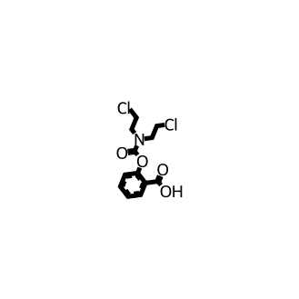 O=C(O)c1ccccc1OC(=O)N(CCCl)CCCl